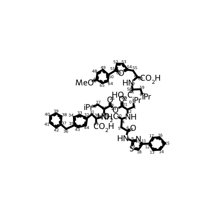 CC(C)CC(NC(CC(=O)Nc1nc(-c2ccccc2)cs1)C(=O)O)C(=O)OC(=O)C(CC(C)C)NC(Cc1ccc(Cc2ccccc2)cc1)C(=O)O.COc1ccc(-c2ccc(CC(NC(CC(C)C)C(=O)O)C(=O)O)o2)cc1